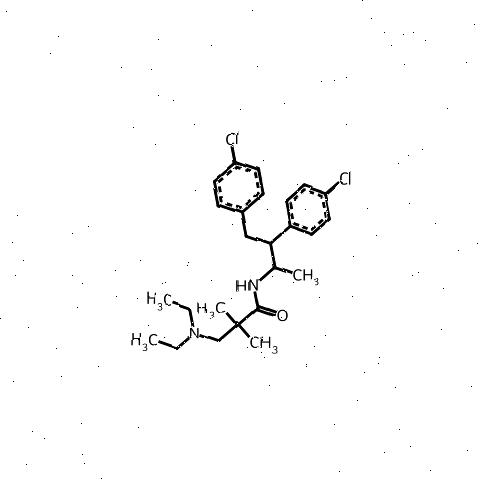 CCN(CC)CC(C)(C)C(=O)NC(C)C(Cc1ccc(Cl)cc1)c1ccc(Cl)cc1